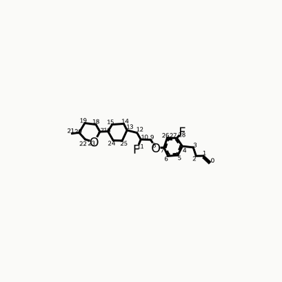 C=CCCc1ccc(OCC(F)CC2CCC(C3CCC(C)CO3)CC2)cc1F